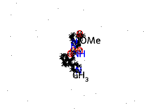 COC1(c2cc(S(=O)(=O)NC(=O)Cc3c(-c4ccnc(C)c4)ccc4c3CCC4)nn2C2CC2)COC1